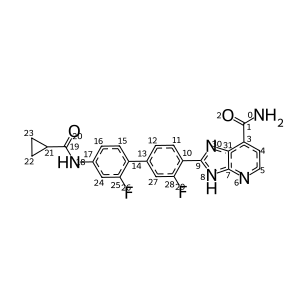 NC(=O)c1ccnc2[nH]c(-c3ccc(-c4ccc(NC(=O)C5CC5)cc4F)cc3F)nc12